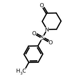 Cc1ccc(S(=O)(=O)N2CCCC(=O)C2)cc1